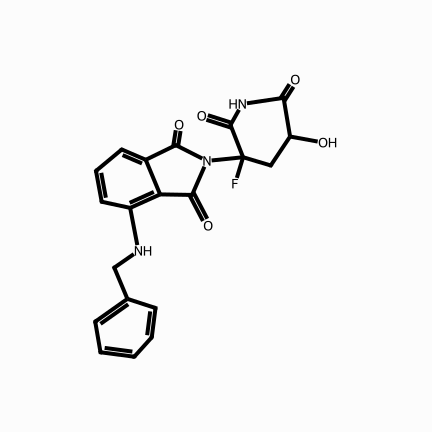 O=C1NC(=O)C(F)(N2C(=O)c3cccc(NCc4ccccc4)c3C2=O)CC1O